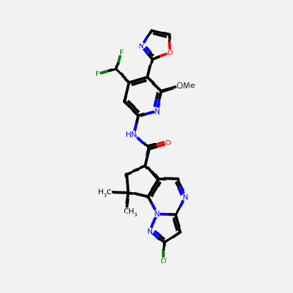 COc1nc(NC(=O)C2CC(C)(C)c3c2cnc2cc(Cl)nn32)cc(C(F)F)c1-c1ncco1